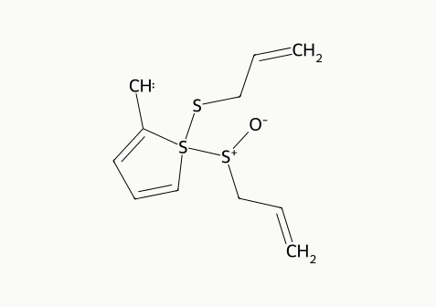 [CH]C1=CC=CS1(SCC=C)[S+]([O-])CC=C